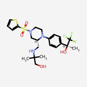 CC(C)(CO)NC[C@@H]1CN(S(=O)(=O)c2cccs2)CCN1c1ccc([C@](C)(O)C(F)(F)F)cc1